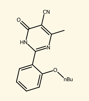 CCCCOc1ccccc1-c1nc(C)c(C#N)c(=O)[nH]1